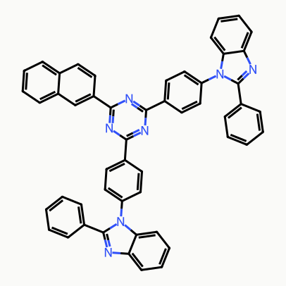 c1ccc(-c2nc3ccccc3n2-c2ccc(-c3nc(-c4ccc(-n5c(-c6ccccc6)nc6ccccc65)cc4)nc(-c4ccc5ccccc5c4)n3)cc2)cc1